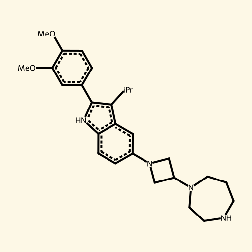 COc1ccc(-c2[nH]c3ccc(N4CC(N5CCCNCC5)C4)cc3c2C(C)C)cc1OC